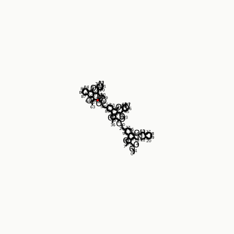 CCOC(=O)c1c(C)oc2c1c(CN1CCc3ccccc3C1)c(O)c1ccc(CCOC(=O)c3c(C)oc4c3c(C(OC)c3ccncc3)c(O)c3ccc(CCOC(=O)c5c(C)oc6c5c(C(c5ccncc5)N5CCOCC5)c(O)c5ccccc56)cc34)cc12